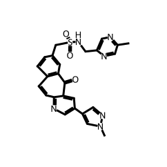 Cc1cnc(CNS(=O)(=O)Cc2ccc3ccc4ncc(-c5cnn(C)c5)cc4c(=O)c3c2)cn1